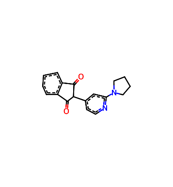 O=C1c2ccccc2C(=O)C1c1ccnc(N2CCCC2)c1